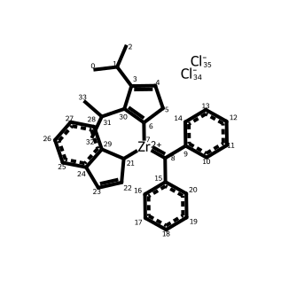 CC(C)C1=CC[C]([Zr+2](=[C](c2ccccc2)c2ccccc2)[CH]2C=Cc3ccccc32)=C1C(C)C.[Cl-].[Cl-]